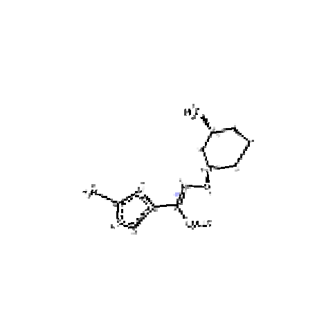 CCOC(=O)/C(=N\O[C@@H]1CCC[C@H](C)C1)c1csc(N)n1